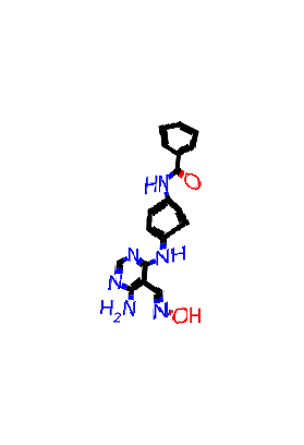 Nc1ncnc(Nc2ccc(NC(=O)c3ccccc3)cc2)c1C=NO